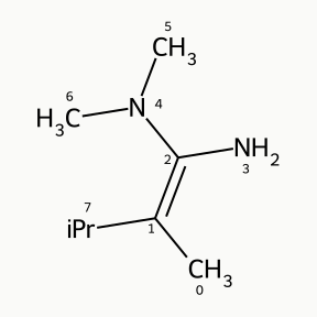 CC(=C(N)N(C)C)C(C)C